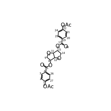 CC(=O)Oc1ccc(C(=O)O[C@H]2COC3C2OC[C@H]3OC(=O)c2ccc(OC(C)=O)cc2)cc1